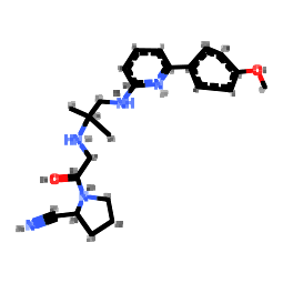 COc1ccc(-c2cccc(NCC(C)(C)NCC(=O)N3CCCC3C#N)n2)cc1